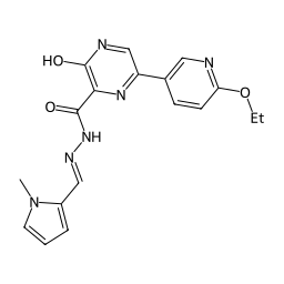 CCOc1ccc(-c2cnc(O)c(C(=O)N/N=C/c3cccn3C)n2)cn1